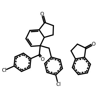 O=C1CCC2C1=CC=CC2(Cc1ccc(Cl)cc1)C(=O)c1ccc(Cl)cc1.O=C1CCc2ccccc21